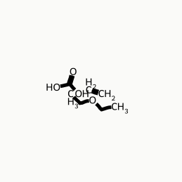 C=C.CCOCC.O=C(O)O